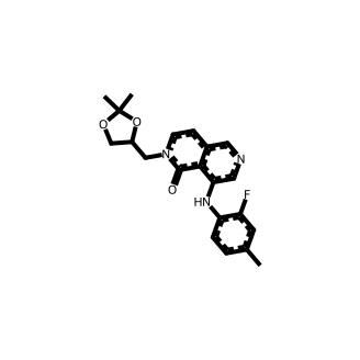 Cc1ccc(Nc2cncc3ccn(CC4COC(C)(C)O4)c(=O)c23)c(F)c1